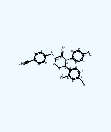 N#Cc1ccc(C[C@H]2CCC(c3ccc(Cl)cc3Cl)N(c3ccc(Cl)cc3)C2=O)cc1